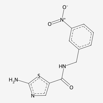 Nc1ncc(C(=O)NCc2cccc([N+](=O)[O-])c2)s1